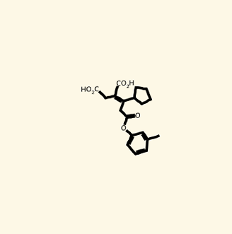 Cc1cccc(OC(=O)CC(=C(CC(=O)O)C(=O)O)C2CCCC2)c1